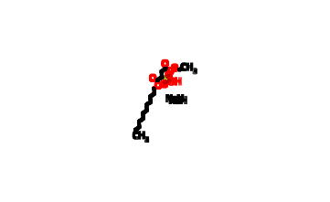 CCCCCCCCCCCCOC(=O)C(CC(=O)OOCC)S(=O)(=O)O.[NaH].[NaH]